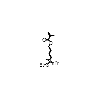 C=C(C)C(=O)OCCCC[Si](C)(CCC)OCC